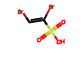 O=S(=O)(O)C(Br)=CBr